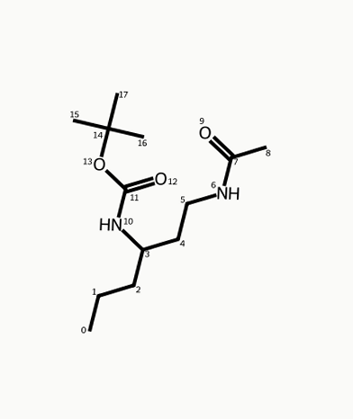 CCCC(CCNC(C)=O)NC(=O)OC(C)(C)C